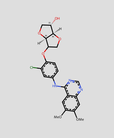 COc1cc2ncnc(Nc3ccc(OC4CO[C@H]5[C@@H]4OC[C@@H]5O)c(Cl)c3)c2cc1OC